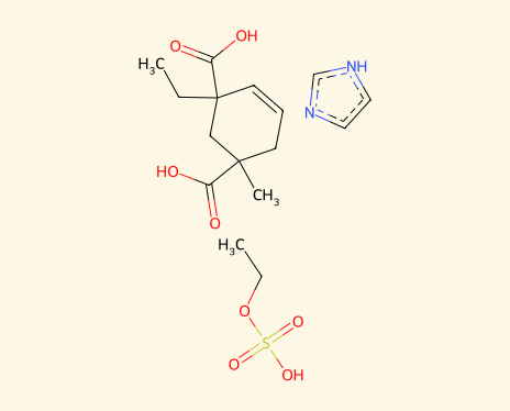 CCC1(C(=O)O)C=CCC(C)(C(=O)O)C1.CCOS(=O)(=O)O.c1c[nH]cn1